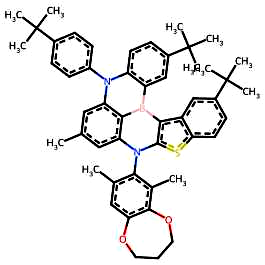 Cc1cc2c3c(c1)N(c1c(C)cc4c(c1C)OCCCO4)c1sc4ccc(C(C)(C)C)cc4c1B3c1cc(C(C)(C)C)ccc1N2c1ccc(C(C)(C)C)cc1